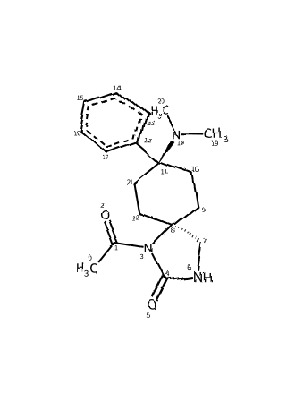 CC(=O)N1C(=O)NC[C@]12CC[C@](c1ccccc1)(N(C)C)CC2